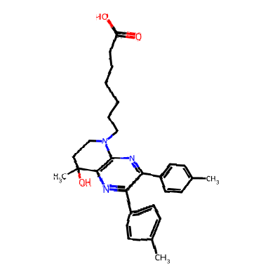 Cc1ccc(-c2nc3c(nc2-c2ccc(C)cc2)C(C)(O)CCN3CCCCCCC(=O)O)cc1